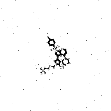 Cc1ccc(S(=O)(=O)n2cc(-c3cc(C#N)n(COCC[Si](C)(C)C)c3)c3c(N4CCOCC4)ccnc32)cc1